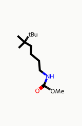 COC(=O)NCCCCC(C)(C)C(C)(C)C